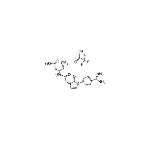 C=C[C@H](CC(=O)O)NC(=O)Cn1ccn(-c2ccc(C(=N)N)cc2)c1=O.O=C(O)C(F)(F)F